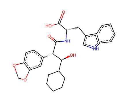 O=C(O)[C@H](Cc1c[nH]c2ccccc12)NC(=O)[C@@H](c1ccc2c(c1)OCO2)[C@@H](O)C1CCCCC1